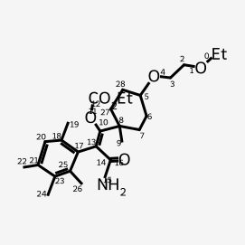 CCOCCOC1CCC(C)(/C(OC(=O)OCC)=C(\C(N)=O)c2c(C)cc(C)c(C)c2C)CC1